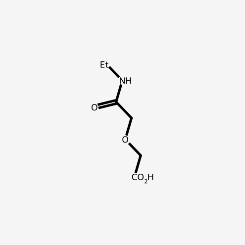 CCNC(=O)COCC(=O)O